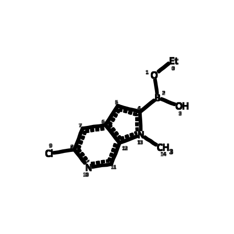 CCOB(O)c1cc2cc(Cl)ncc2n1C